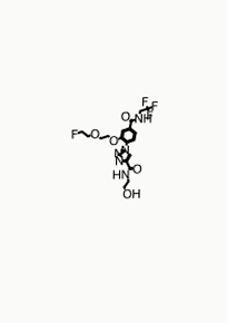 O=C(NCC(F)(F)F)c1ccc(-n2cc(C(=O)NCCO)nn2)c(OCCOCCF)c1